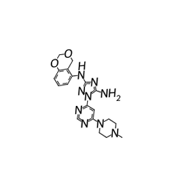 CN1CCN(c2cc(-n3nc(Nc4cccc5c4COCO5)nc3N)ncn2)CC1